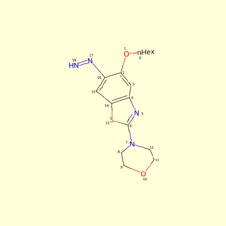 CCCCCCOc1cc2nc(N3CCOCC3)sc2cc1N=N